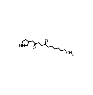 CCCCCCCC(=O)CCC(=O)CC1CCNC1